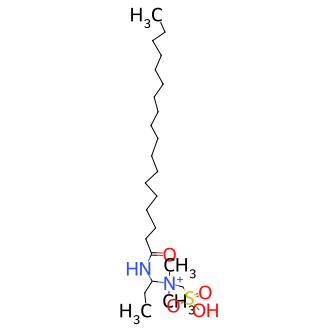 CCCCCCCCCCCCCCCCCC(=O)NC(CC)[N+](C)(C)CS(=O)(=O)O